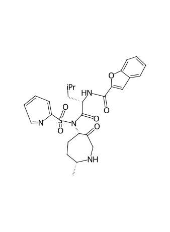 CC(C)C[C@H](NC(=O)c1cc2ccccc2o1)C(=O)N([C@H]1CC[C@@H](C)NCC1=O)S(=O)(=O)c1ccccn1